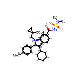 CCN(CC)S(=O)(=O)NC(=O)c1ccc2c(C3CCCCC3)c(-c3ccc(OC)cc3)n(CC3(C(=O)O)CC3)c2c1